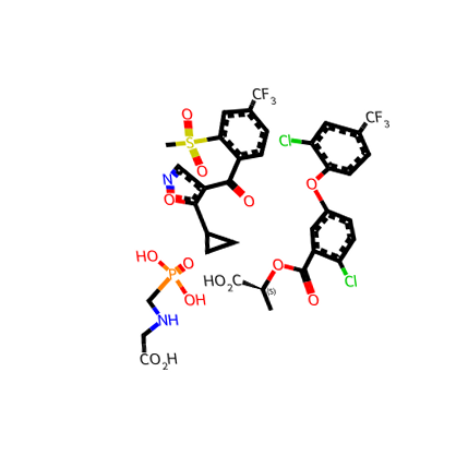 CS(=O)(=O)c1cc(C(F)(F)F)ccc1C(=O)c1cnoc1C1CC1.C[C@H](OC(=O)c1cc(Oc2ccc(C(F)(F)F)cc2Cl)ccc1Cl)C(=O)O.O=C(O)CNCP(=O)(O)O